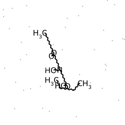 CCCC/C=C\CCC(CC/C=C\CCCC)OC(O)CCCCCCCN(CCO)CCCCCCCC(=O)OCCCCCCCCCCC